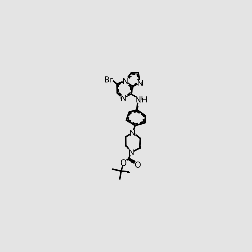 CC(C)(C)OC(=O)N1CCN(c2ccc(Nc3ncc(Br)n4ccnc34)cc2)CC1